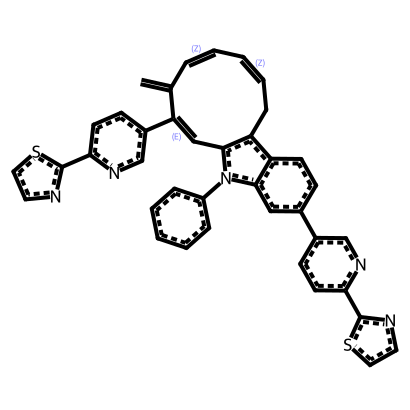 C=C1/C=C\C=C/Cc2c(n(-c3ccccc3)c3cc(-c4ccc(-c5nccs5)nc4)ccc23)/C=C\1c1ccc(-c2nccs2)nc1